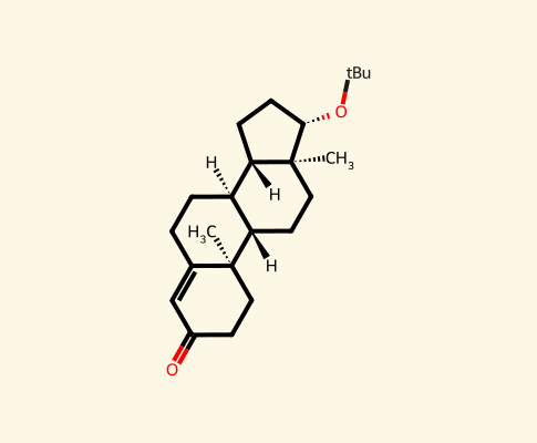 CC(C)(C)O[C@H]1CC[C@H]2[C@@H]3CCC4=CC(=O)CC[C@]4(C)[C@H]3CC[C@]12C